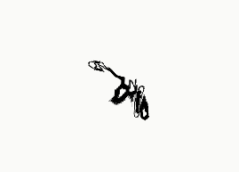 O=S(=O)(c1ccccc1)c1cnc2c(CCCN3CCOCC3)cccc2c1